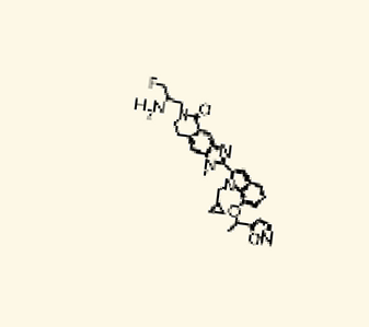 CC(Oc1cccc2cc(-c3nc4cc5c(cc4n3C)CCN(C[C@H](N)CF)C5=O)n(CC3CC3)c12)c1ccno1